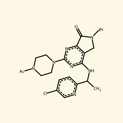 CC(=O)N1CCN(c2nc(NC(C)c3ccc(Cl)cn3)c3c(n2)C(=O)N(C(C)C)C3)CC1